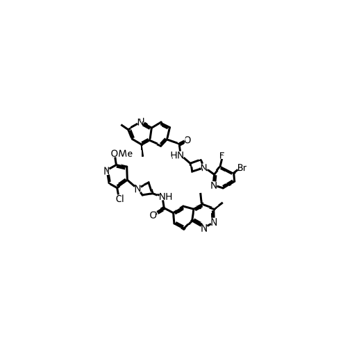 COc1cc(N2CC(NC(=O)c3ccc4nnc(C)c(C)c4c3)C2)c(Cl)cn1.Cc1cc(C)c2cc(C(=O)NC3CN(c4nccc(Br)c4F)C3)ccc2n1